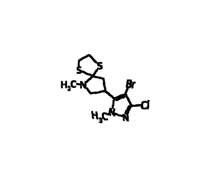 CN1CC(c2c(Br)c(Cl)nn2C)CC12SCCS2